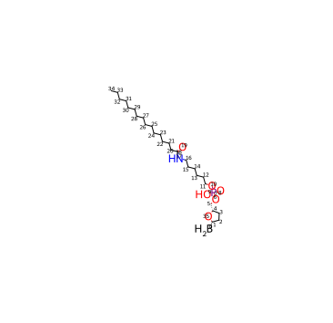 B[C@H]1CC[C@@H](COP(=O)(O)OCCCCCCNC(=O)CCCCCCCCCCCCCCC)O1